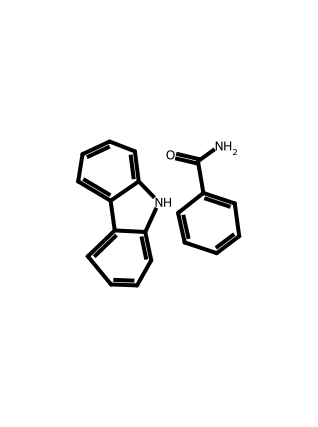 NC(=O)c1ccccc1.c1ccc2c(c1)[nH]c1ccccc12